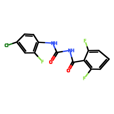 O=C(NC(=O)c1c(F)cccc1F)Nc1ccc(Cl)cc1F